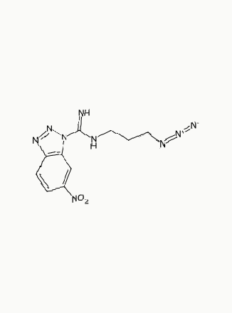 [N-]=[N+]=NCCCNC(=N)n1nnc2ccc([N+](=O)[O-])cc21